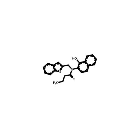 O=C(CCC(F)(F)F)N(Cc1cc2ccccc2s1)c1ccc2ccccc2c1O